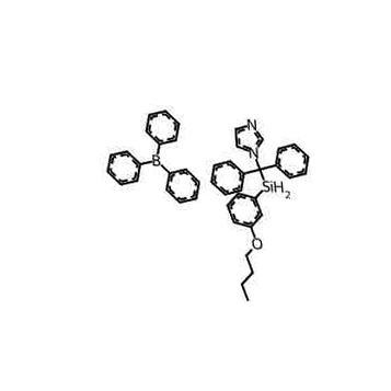 CCCCOc1cccc([SiH2]C(c2ccccc2)(c2ccccc2)n2ccnc2)c1.c1ccc(B(c2ccccc2)c2ccccc2)cc1